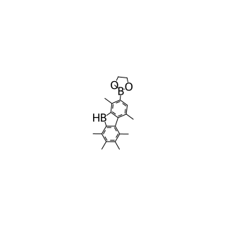 Cc1cc(B2OCCO2)c(C)c2c1-c1c(C)c(C)c(C)c(C)c1B2